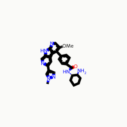 COc1cnc2[nH]c3cnc(-c4cnn(C)c4)cc3c2c1-c1ccc(C(=O)N[C@H]2CCCC[C@@H]2N)cc1